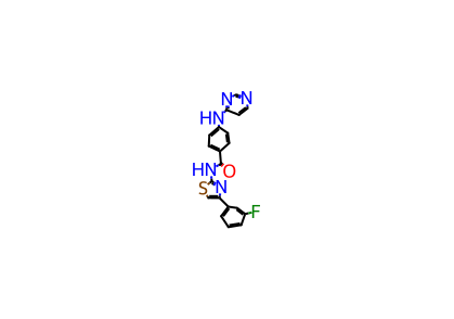 O=C(Nc1nc(-c2cccc(F)c2)cs1)c1ccc(Nc2ccncn2)cc1